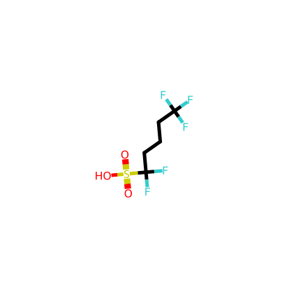 O=S(=O)(O)C(F)(F)CCCC(F)(F)F